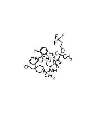 C=C(N[C@@H]1CC[C@@H](c2cccc(F)c2F)Cn2c(C(C)(C)OCCC(F)(F)F)cnc21)N1CCC(CC=O)(c2cccnc2CC)CC1